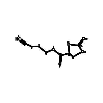 C#CCCCOC(=O)C1COC(=O)O1